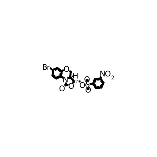 O=C1O[C@@H](COS(=O)(=O)c2cccc([N+](=O)[O-])c2)[C@@H]2COc3cc(Br)ccc3N12